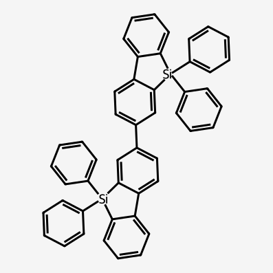 c1ccc([Si]2(c3ccccc3)c3ccccc3-c3ccc(-c4ccc5c(c4)[Si](c4ccccc4)(c4ccccc4)c4ccccc4-5)cc32)cc1